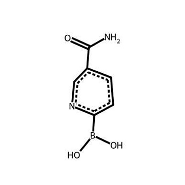 NC(=O)c1ccc(B(O)O)nc1